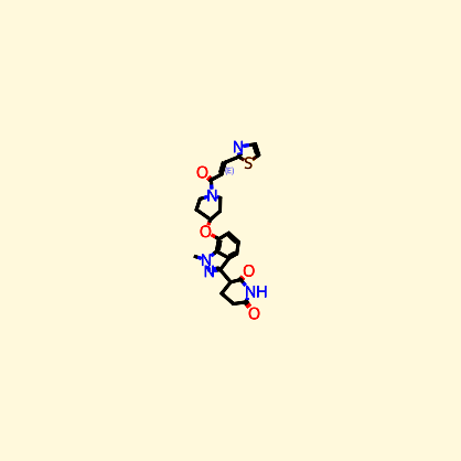 Cn1nc(C2CCC(=O)NC2=O)c2cccc(OC3CCN(C(=O)/C=C/c4nccs4)CC3)c21